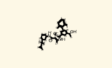 Cc1cccc(C)c1-c1cc(-c2[nH]c(C)c(C(=O)Nc3cccc(C(F)(F)C4CC4)c3)[n+]2[O-])cc(C(C)O)c1